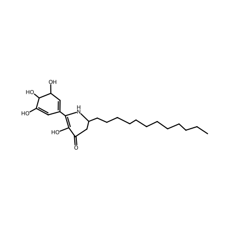 CCCCCCCCCCCCC1CC(=O)C(O)=C(C2=CC(O)C(O)C(O)=C2)N1